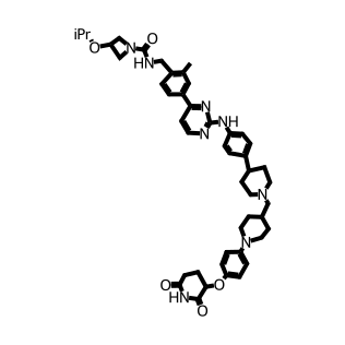 Cc1cc(-c2ccnc(Nc3ccc(C4CCN(CC5CCN(c6ccc(OC7CCC(=O)NC7=O)cc6)CC5)CC4)cc3)n2)ccc1CNC(=O)N1CC(OC(C)C)C1